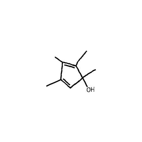 CC1=CC(C)(O)C(C)=C1C